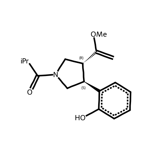 C=C(OC)[C@H]1CN(C(=O)C(C)C)C[C@@H]1c1ccccc1O